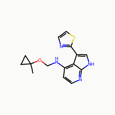 CC1(OCNc2ccnc3[nH]cc(-c4nccs4)c23)CC1